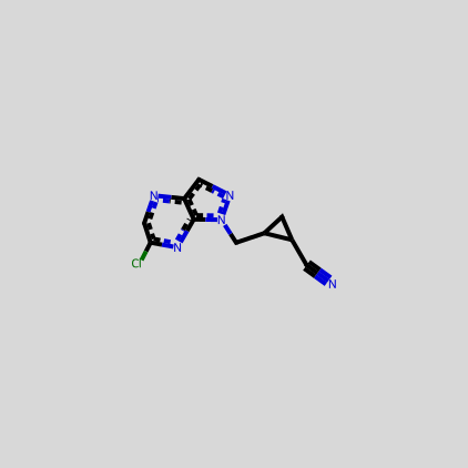 N#CC1CC1Cn1ncc2ncc(Cl)nc21